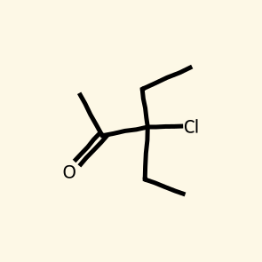 CCC(Cl)(CC)C(C)=O